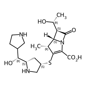 C[C@@H](O)[C@H]1C(=O)N2C(C(=O)O)=C(S[C@@H]3CN[C@H]([C@H](O)C4CCNC4)C3)[C@H](C)[C@H]12